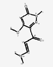 COc1cc(=O)n(C)nc1C(=O)C=CN(C)C